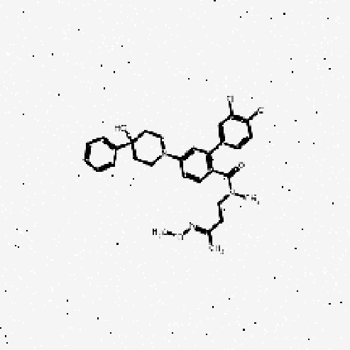 CON=C(C)CCN(C)C(=O)c1ccc(N2CCC(O)(c3ccccc3)CC2)cc1-c1ccc(Cl)c(Cl)c1